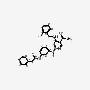 NC(=O)c1cnc(Nc2cccc(NC(=O)Cc3ccncc3)c2)nc1NCc1ccccc1F